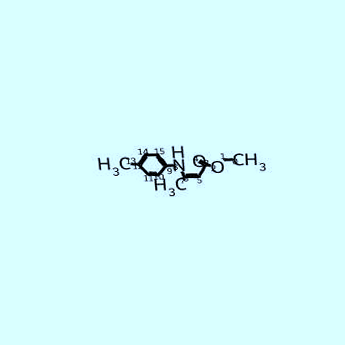 CCOC(=O)/C=C(/C)Nc1ccc(C)cc1